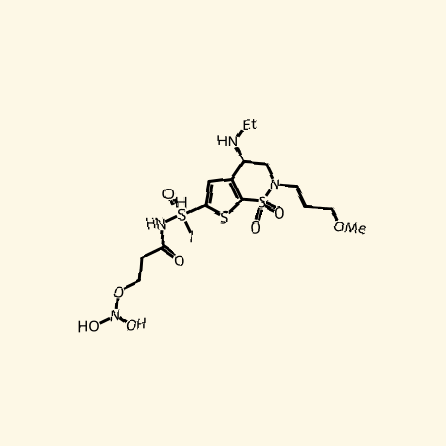 CCN[C@H]1CN(CCCOC)S(=O)(=O)c2sc([SH](=O)(I)NC(=O)CCON(O)O)cc21